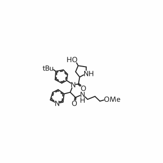 COCCCNC(=O)C(c1cccnc1)N(C(=O)C1CC(O)CN1)c1ccc(C(C)(C)C)cc1